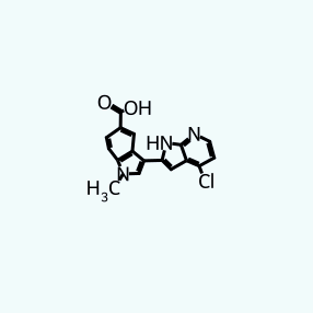 Cn1cc(-c2cc3c(Cl)ccnc3[nH]2)c2cc(C(=O)O)ccc21